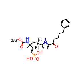 CCC(CC)(C[C@](C)(C=CP(=O)(O)O)NC(=O)OC(C)(C)C)c1ccc(C(=O)CCCCc2ccccc2)n1C